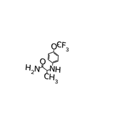 C[C@H](Nc1ccc(OC(F)(F)F)cc1)C(N)=O